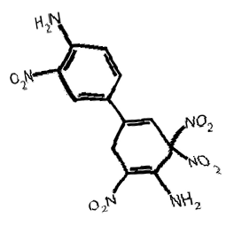 NC1=C([N+](=O)[O-])CC(c2ccc(N)c([N+](=O)[O-])c2)=CC1([N+](=O)[O-])[N+](=O)[O-]